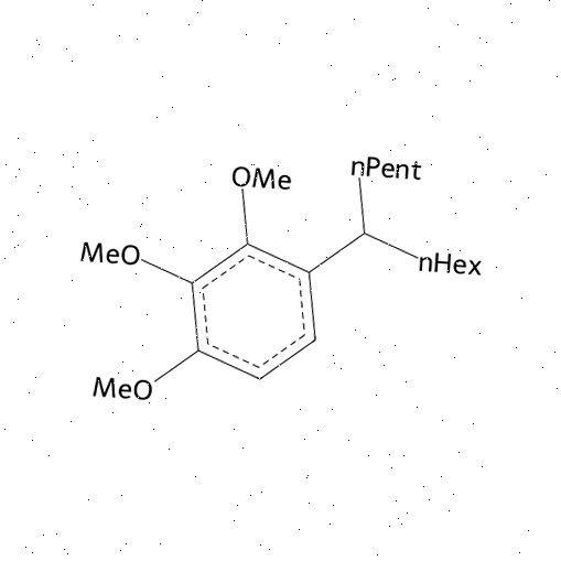 CCCCCCC(CCCCC)c1ccc(OC)c(OC)c1OC